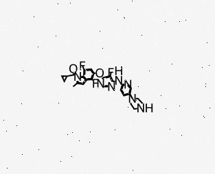 Cc1cc2c(F)c(Oc3ncnc(Nc4ccc(N5CCNCC5)cn4)c3F)cc(F)c2n1C(=O)C1CC1